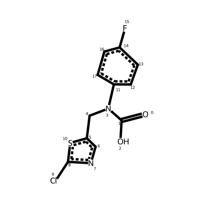 O=C(O)N(Cc1cnc(Cl)s1)c1ccc(F)cc1